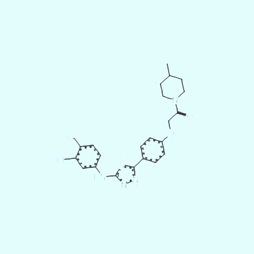 CC1CCN(C(=O)COc2ccc(-c3nnc(Nc4ccc(Cl)c(Cl)c4)s3)cc2)CC1